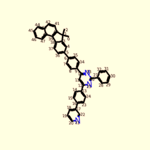 CC1(C)c2cc(-c3ccc(-c4cc(-c5ccc(-c6cccnc6)cc5)nc(-c5ccccc5)n4)cc3)ccc2-c2c1ccc1ccccc21